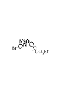 CCOC(=O)C(C)Oc1ccc(Oc2nnc3cc(Br)ccc3n2)cc1